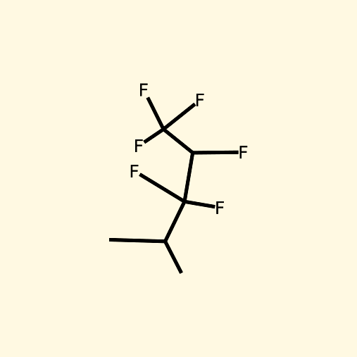 CC(C)C(F)(F)C(F)C(F)(F)F